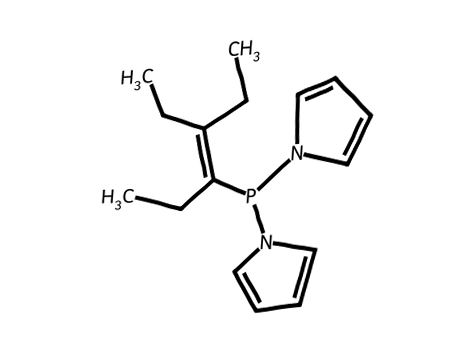 CCC(CC)=C(CC)P(n1cccc1)n1cccc1